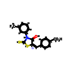 O=C(O)c1ccc(/C=C2/SC(=S)N(c3cccc(C(F)(F)F)c3)C2=O)cc1